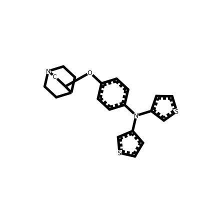 c1cc(N(c2ccc(OC3CN4CCC3CC4)cc2)c2ccsc2)cs1